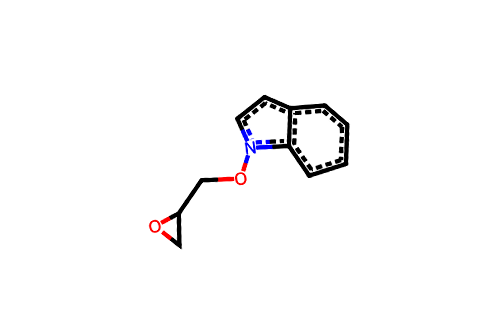 c1ccc2c(c1)ccn2OCC1CO1